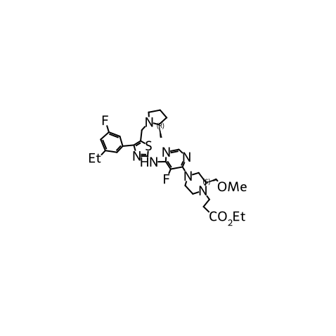 CCOC(=O)CCN1CCN(c2ncnc(Nc3nc(-c4cc(F)cc(CC)c4)c(CN4CCC[C@H]4C)s3)c2F)C[C@H]1COC